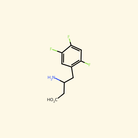 NC(CC(=O)O)Cc1cc(F)c(F)cc1F